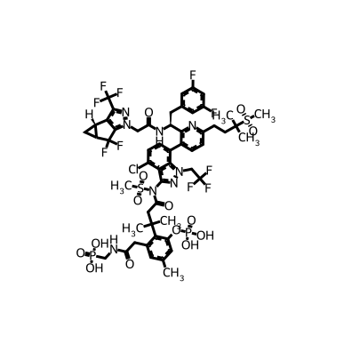 Cc1cc(CC(=O)NCP(=O)(O)O)c(C(C)(C)CC(=O)N(c2nn(CC(F)(F)F)c3c(-c4ccc(CCC(C)(C)S(C)(=O)=O)nc4[C@H](Cc4cc(F)cc(F)c4)NC(=O)Cn4nc(C(F)(F)F)c5c4C(F)(F)C4C[C@H]54)ccc(Cl)c23)S(C)(=O)=O)c(OP(=O)(O)O)c1